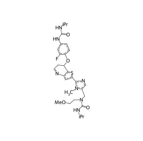 COCCN(Cc1cnc(-c2cc3c(s2)C(Oc2ccc(NC(=O)NC(C)C)cc2F)CC=N3)n1C)C(=O)NC(C)C